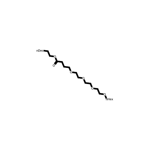 CCCCCCCCCCCCOC(=O)CCCOCCOCCOCCOCCCCCC